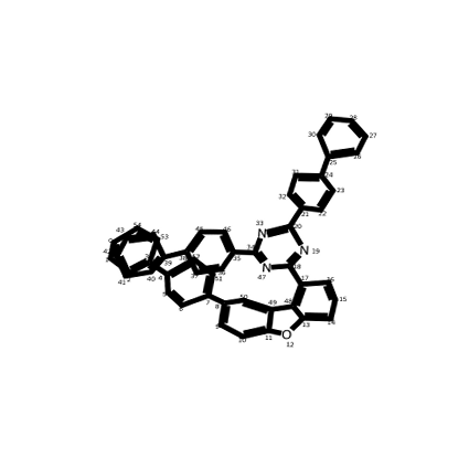 c1ccc(-c2ccc(-c3ccc4oc5cccc(-c6nc(-c7ccc(-c8ccccc8)cc7)nc(-c7ccc(-c8ccccc8)cc7)n6)c5c4c3)cc2)cc1